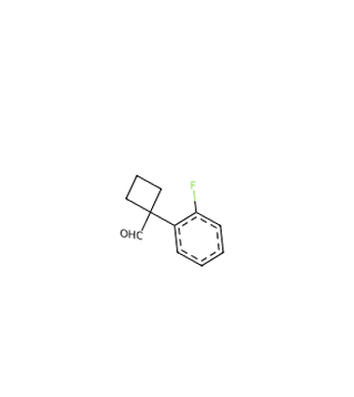 O=CC1(c2ccccc2F)CCC1